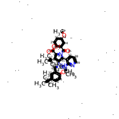 COc1ccc(C(C)(C)C)cc1CN[C@H]1[C@H](C(C)(C)C)[C@@H](C(=O)O)N(C(=O)[C@H]2CCC[C@H](OC)C2)[C@H]1c1cccnc1N(C)C